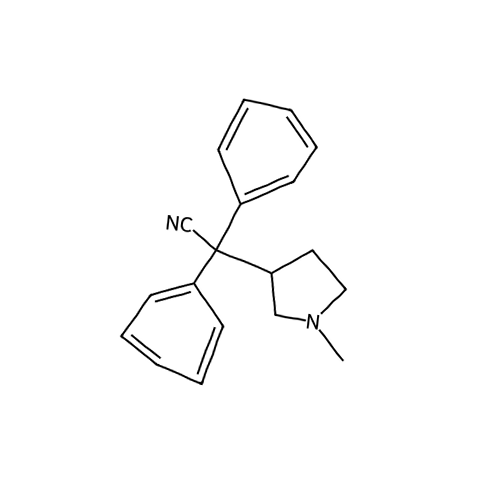 CN1CCC(C(C#N)(c2ccccc2)c2ccccc2)C1